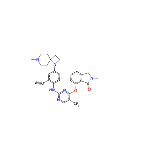 COc1cc(N2CCC23CCN(C)CC3)ccc1Nc1ncc(C(F)(F)F)c(Oc2cccc3c2C(=O)N(C)C3)n1